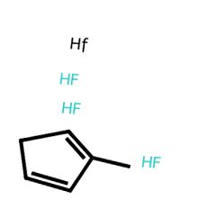 CC1=CCC=C1.F.F.F.[Hf]